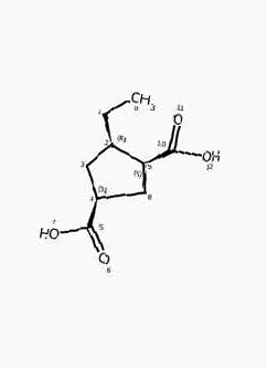 CC[C@@H]1C[C@H](C(=O)O)C[C@@H]1C(=O)O